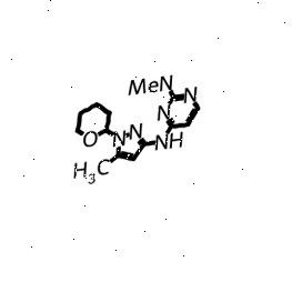 CNc1nccc(Nc2cc(C)n(C3CCCCO3)n2)n1